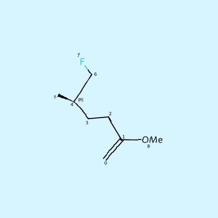 C=C(CC[C@@H](C)CF)OC